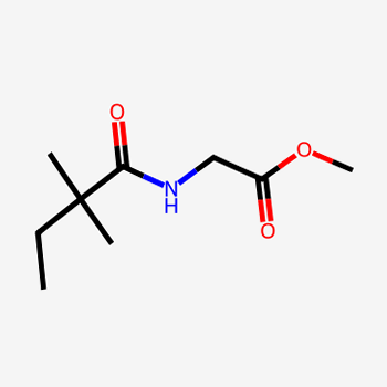 CCC(C)(C)C(=O)NCC(=O)OC